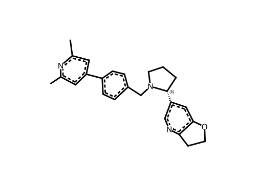 Cc1cc(-c2ccc(CN3CCC[C@@H]3c3cnc4c(c3)OCC4)cc2)cc(C)n1